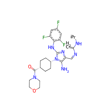 C=C(/N=C\c1nc(Nc2c(F)cc(F)cc2F)n([C@H]2CC[C@@H](C(=O)N3CCOCC3)CC2)c1N)NC(C)C